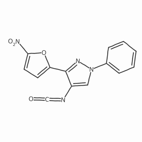 O=C=Nc1cn(-c2ccccc2)nc1-c1ccc([N+](=O)[O-])o1